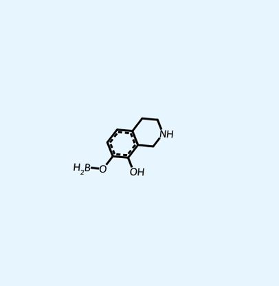 BOc1ccc2c(c1O)CNCC2